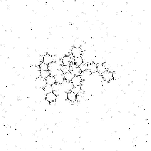 Cn1c2c3oc4cnccc4c3c(Cn3c4c5c(cc(-n6c7cc8c(cc7n7c9ccccc9nc67)oc6cnccc68)c4n4c6ccccc6nc34)oc3cnccc35)cc2n2c3ccccc3nc12